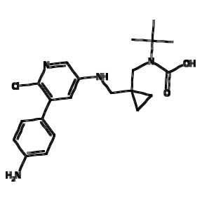 CC(C)(C)N(CC1(CNc2cnc(Cl)c(-c3ccc(N)cc3)c2)CC1)C(=O)O